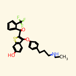 CCNCCCc1ccc(Oc2c(C(=O)c3ccccc3C(F)(F)F)sc3cc(O)ccc23)cc1